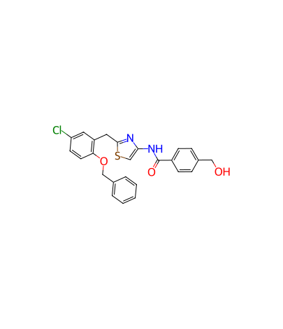 O=C(Nc1csc(Cc2cc(Cl)ccc2OCc2ccccc2)n1)c1ccc(CO)cc1